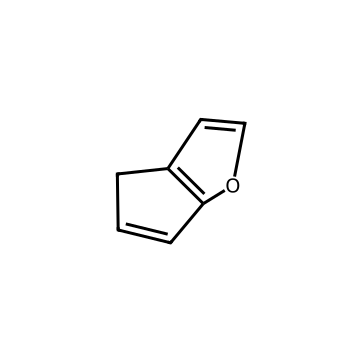 C1=Cc2occc2C1